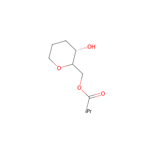 CC(C)C(=O)OCC1OCCC[C@@H]1O